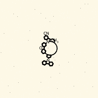 CC1C2=C=Cc3c1n(c1ccc(C#N)cc31)-c1ccc3oc4ccc(cc4c3c1)-c1cc(cc(-n3c4ccccc4c4ccccc43)c1)CCCCCC2